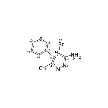 Nc1nnc(Cl)c(-c2ccccc2)c1Br